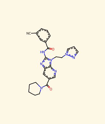 N#Cc1cccc(C(=O)Nc2nc3cc(C(=O)N4CCCCC4)cnc3n2CCn2cccn2)c1